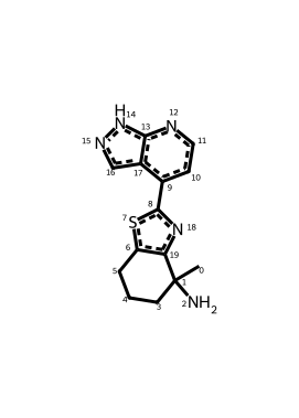 CC1(N)CCCc2sc(-c3ccnc4[nH]ncc34)nc21